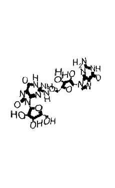 Nc1nc2c(ncn2[C@@H]2O[C@H](CONC3(N)N=C4C(=NC(=O)N4[C@@H]4O[C@H](CO)[C@@H](O)[C@H]4O)C(=O)N3)[C@@H](O)[C@H]2O)c(=O)[nH]1